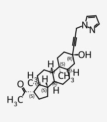 CC(=O)[C@H]1CC[C@H]2[C@@H]3CC[C@@H]4C[C@@](O)(C#CCn5cccn5)CC[C@]4(C)[C@H]3CC[C@]12C